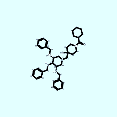 O=C(C1CCCCC1)N1CCC(F)(CN2C[C@H](OCc3ccccc3)C(OCc3ccccc3)[C@H](OCc3ccccc3)C2)CC1